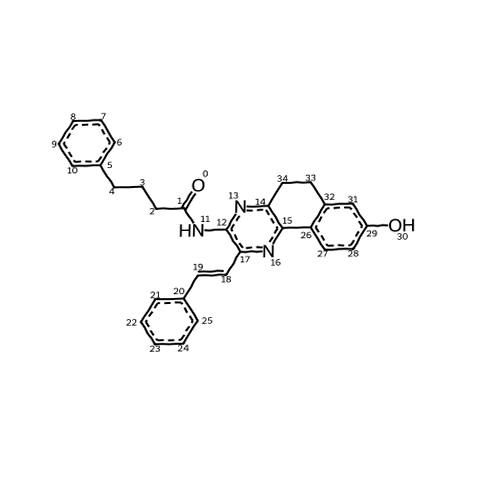 O=C(CCCc1ccccc1)Nc1nc2c(nc1/C=C/c1ccccc1)-c1ccc(O)cc1CC2